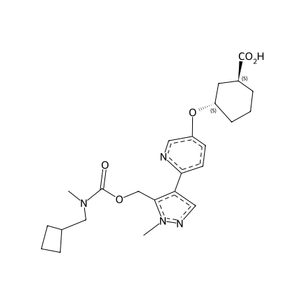 CN(CC1CCC1)C(=O)OCc1c(-c2ccc(O[C@H]3CCC[C@H](C(=O)O)C3)cn2)cnn1C